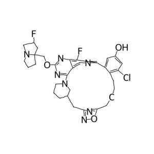 Oc1cc(Cl)c2c(c1)-c1ncc3c(nc(OCC45CCCN4CC(F)C5)nc3c1F)N1CCCC(Cc3noc(n3)CCCC2)C1